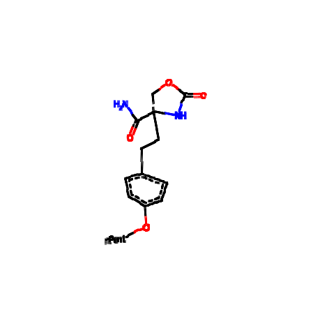 CCCCCOc1ccc(CCC2(C(N)=O)COC(=O)N2)cc1